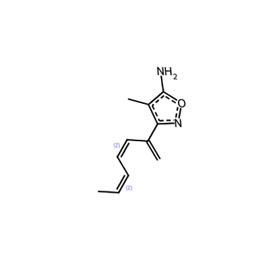 C=C(/C=C\C=C/C)c1noc(N)c1C